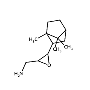 CC1(C)C2CCC1(C)C(C1OC1CN)C2